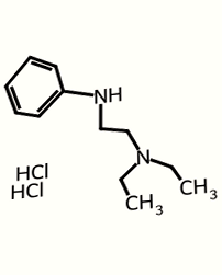 CCN(CC)CCNc1ccccc1.Cl.Cl